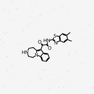 Cc1cc2nc(NC(=O)C(=O)c3c4n(c5ccccc35)CCNCC4)sc2cc1C